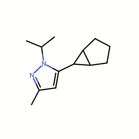 Cc1cc(C2C3CCCC32)n(C(C)C)n1